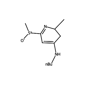 CCCCNC1=CC([S+](C)[O-])=NC(C)C1